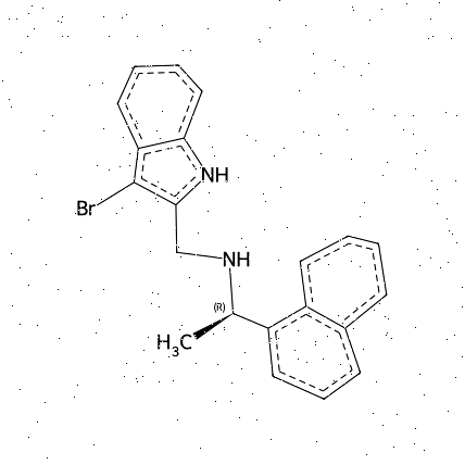 C[C@@H](NCc1[nH]c2ccccc2c1Br)c1cccc2ccccc12